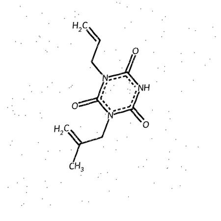 C=CCn1c(=O)[nH]c(=O)n(CC(=C)C)c1=O